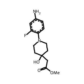 COC(=O)CC1(O)CCN(c2ccc(N)cc2F)CC1